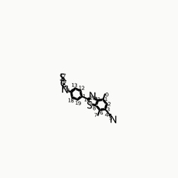 Cc1cc(C#N)c(C)c2sc(-c3ccc(N=C=S)cc3)nc12